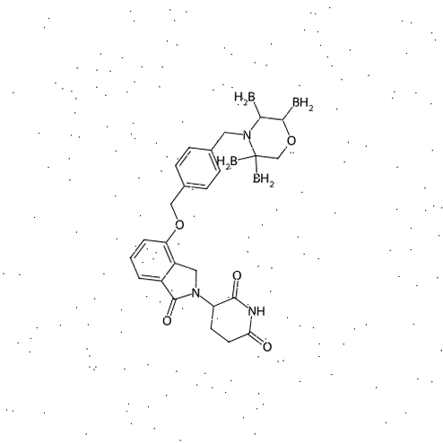 BC1OCC(B)(B)N(Cc2ccc(COc3cccc4c3CN(C3CCC(=O)NC3=O)C4=O)cc2)C1B